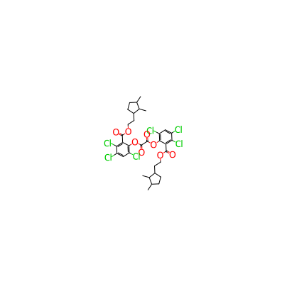 CC1CCC(CCOC(=O)c2c(Cl)c(Cl)cc(Cl)c2OC(=O)C(=O)Oc2c(Cl)cc(Cl)c(Cl)c2C(=O)OCCC2CCC(C)C2C)C1C